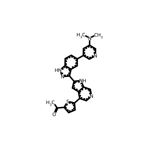 CC(=O)c1ccc(-c2cncc3[nH]c(-c4n[nH]c5ccc(-c6cncc(N(C)C)c6)cc45)cc23)s1